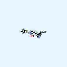 COc1ccc2nccc(C(F)CC[C@@H]3CCN(CCCSc4ccc(C)cc4)C[C@@H]3CO)c2c1